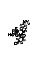 NC1CCC2(CCN(c3nc4cc(Cl)ccc4o3)C2)C1.O=C(O)C(F)(F)F